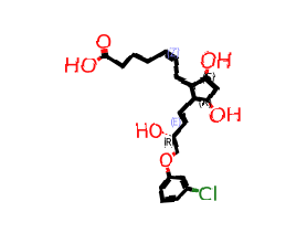 O=C(O)CCC/C=C\CC1C(/C=C/[C@@H](O)COc2cccc(Cl)c2)[C@H](O)C[C@@H]1O